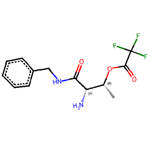 C[C@@H](OC(=O)C(F)(F)F)[C@H](N)C(=O)NCc1ccccc1